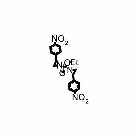 CCOP(=O)(N1CC1c1ccc([N+](=O)[O-])cc1)N1CC1c1ccc([N+](=O)[O-])cc1